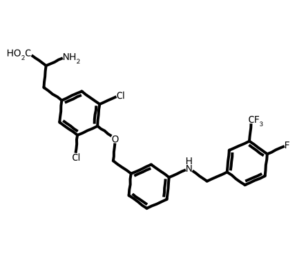 NC(Cc1cc(Cl)c(OCc2cccc(NCc3ccc(F)c(C(F)(F)F)c3)c2)c(Cl)c1)C(=O)O